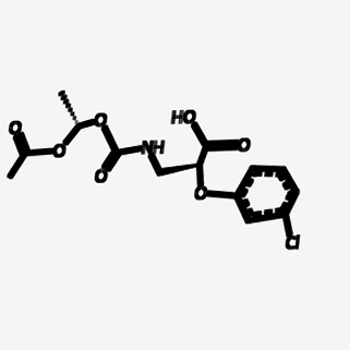 CC(=O)O[C@H](C)OC(=O)NC[C@H](Oc1cccc(Cl)c1)C(=O)O